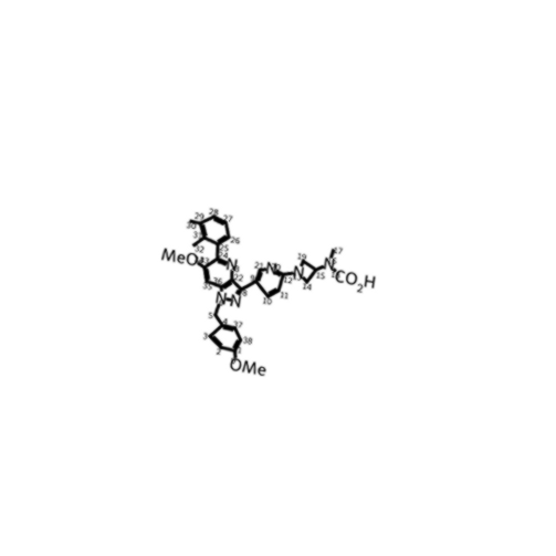 COc1ccc(Cn2nc(-c3ccc(N4CC(N(C)C(=O)O)C4)nc3)c3nc(-c4cccc(C)c4C)c(OC)cc32)cc1